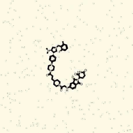 Cc1cccc(F)c1CN1C[C@H](c2ccc(N3CCN(C(=O)CCC4CCN(C(=O)CNc5ccc6c(c5)C(=O)N(C5CCC(=O)NC5=O)C6=O)CC4)CC3)cc2)[C@@H](N(C)C)C1